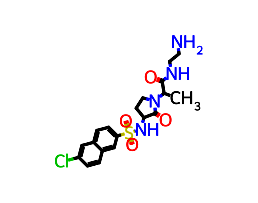 CC(C(=O)NCCN)N1CCC(NS(=O)(=O)c2ccc3cc(Cl)ccc3c2)C1=O